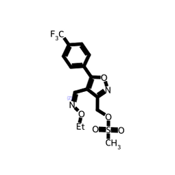 CCO/N=C\c1c(COS(C)(=O)=O)noc1-c1ccc(C(F)(F)F)cc1